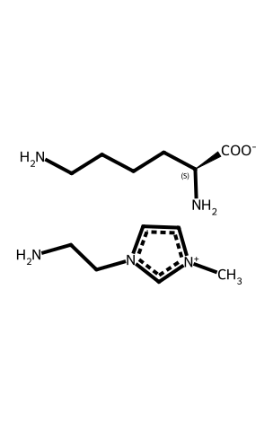 C[n+]1ccn(CCN)c1.NCCCC[C@H](N)C(=O)[O-]